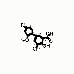 COc1cc(F)ccc1-c1cc(Cl)c(O)c(C(=O)O)c1